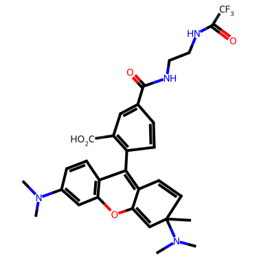 CN(C)c1ccc2c(c1)OC1=CC(C)(N(C)C)C=CC1=C2c1ccc(C(=O)NCCNC(=O)C(F)(F)F)cc1C(=O)O